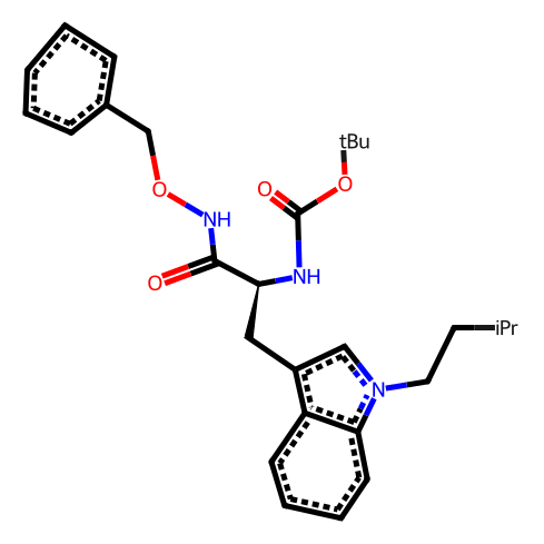 CC(C)CCn1cc(C[C@H](NC(=O)OC(C)(C)C)C(=O)NOCc2ccccc2)c2ccccc21